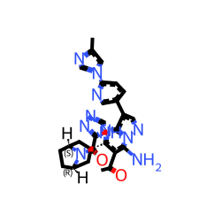 CC(=O)c1c([C@@H]2C[C@H]3CC[C@@H](C2)N3C(=O)c2nnc[nH]2)nc2c(-c3ccc(-n4cnc(C)c4)nc3)cnn2c1N